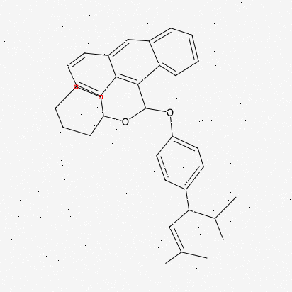 CC(C)=CC(c1ccc(OC(OC2CCCCC2)c2c3ccccc3cc3ccccc23)cc1)C(C)C